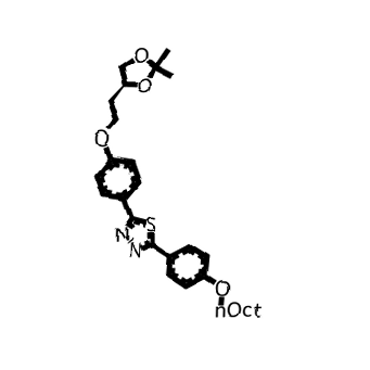 CCCCCCCCOc1ccc(-c2nnc(-c3ccc(OCC[C@H]4COC(C)(C)O4)cc3)s2)cc1